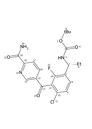 CC[C@@H](NC(=O)OC(C)(C)C)c1ccc(Cl)c(C(=O)c2ccc(C(N)=O)nc2)c1F